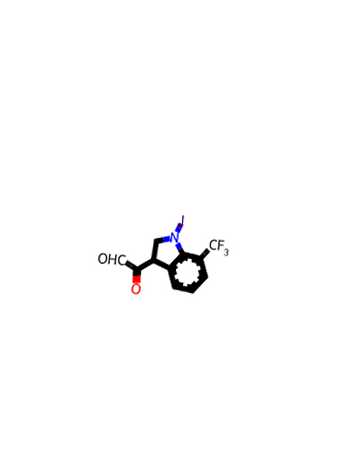 O=CC(=O)C1CN(I)c2c1cccc2C(F)(F)F